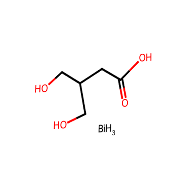 O=C(O)CC(CO)CO.[BiH3]